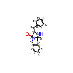 Cc1ccc(CN2C(=O)[C@@H](Cc3ccccc3)NC2(C)C)cc1